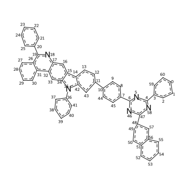 c1ccc(-c2nc(-c3ccc(-c4ccc5c6cc7nc(-c8ccccc8)c8ccccc8c7cc6n(-c6ccccc6)c5c4)cc3)nc(-c3ccc4ccccc4c3)n2)cc1